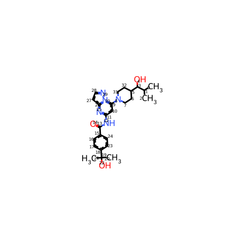 CC(C)C(O)C1CCN(c2cc(NC(=O)c3ccc(C(C)(C)O)cc3)nc3ccnn23)CC1